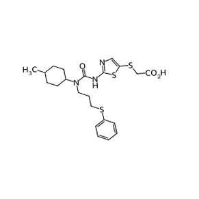 CC1CCC(N(CCCSc2ccccc2)C(=O)Nc2ncc(SCC(=O)O)s2)CC1